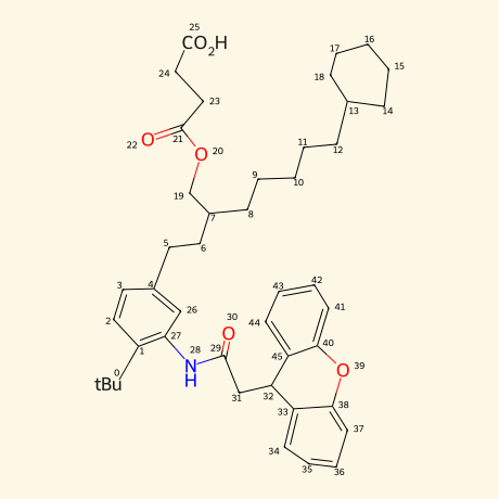 CC(C)(C)c1ccc(CCC(CCCCCC2CCCCC2)COC(=O)CCC(=O)O)cc1NC(=O)CC1c2ccccc2Oc2ccccc21